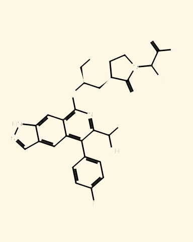 CC[C@@H](C[C@H]1CCN(C(C)C(=O)O)C1=O)Oc1nc(C(C)C)c(-c2ccc(F)cc2)c2cc3cn[nH]c3cc12